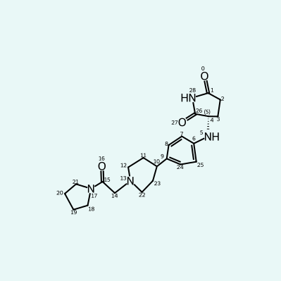 O=C1CC[C@H](Nc2ccc(C3CCN(CC(=O)N4CCCC4)CC3)cc2)C(=O)N1